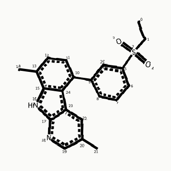 CCS(=O)(=O)c1cccc(-c2ccc(C)c3[nH]c4ncc(C)cc4c23)c1